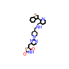 O=C1NC(=O)/C(=C\c2ccnc(N3CCC(CNCc4cccnc4-c4csc5ccccc45)CC3)n2)S1